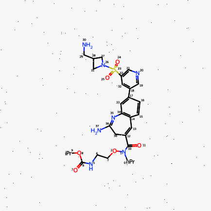 CCCN(OCCNC(=O)OC(C)C)C(=O)C1=Cc2ccc(-c3cncc(S(=O)(=O)N4CC(CN)C4)c3)cc2N=C(N)C1